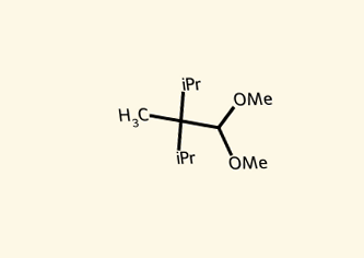 COC(OC)C(C)(C(C)C)C(C)C